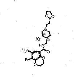 Nc1cc(C(=O)NC[C@@H]2CCN(CCC3OCCO3)C[C@H]2O)c2c(c1Br)OCCO2